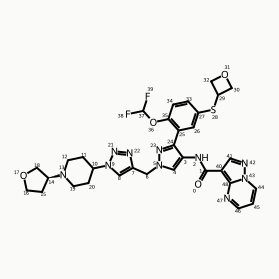 O=C(Nc1cn(Cc2cn(C3CCN([C@H]4CCOC4)CC3)nn2)nc1-c1cc(SC2COC2)ccc1OC(F)F)c1cnn2cccnc12